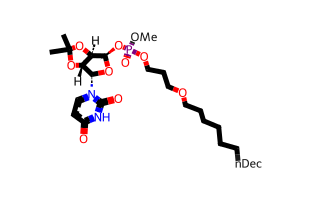 CCCCCCCCCCCCCCCCOCCCOP(=O)(OC)O[C@H]1O[C@H](n2ccc(=O)[nH]c2=O)[C@@H]2OC(C)(C)O[C@@H]12